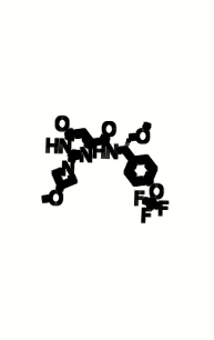 COC[C@@H](NC(=O)c1cc(=O)[nH]c(N2CC(OC)C2)n1)c1ccc(OC(F)(F)F)cc1